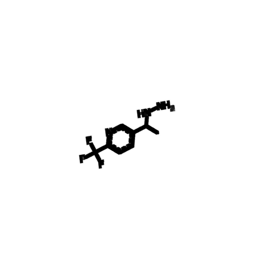 CC(NN)c1ccc(C(F)(F)F)nc1